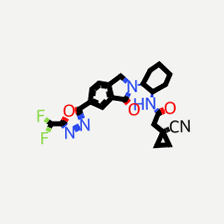 N#CC1(CC(=O)N[C@@H]2CCCC[C@H]2N2Cc3ccc(-c4nnc(C(F)F)o4)cc3C2=O)CC1